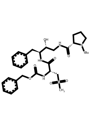 CC(C)(C)N1CCC[C@H]1C(=O)NC[C@@H](O)[C@H](Cc1ccccc1)NC(=O)[C@H](CS(C)(=O)=O)NC(=O)OCc1ccccc1